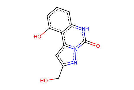 O=c1[nH]c2cccc(O)c2c2cc(CO)nn12